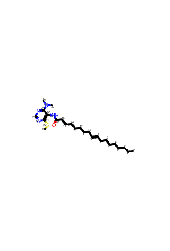 CCCCCCCCC=CCCCCCCCC(=O)Nc1c(SC)ncnc1N(C)C